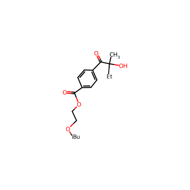 CCC(C)OCCOC(=O)c1ccc(C(=O)C(C)(O)CC)cc1